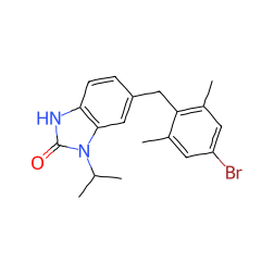 Cc1cc(Br)cc(C)c1Cc1ccc2[nH]c(=O)n(C(C)C)c2c1